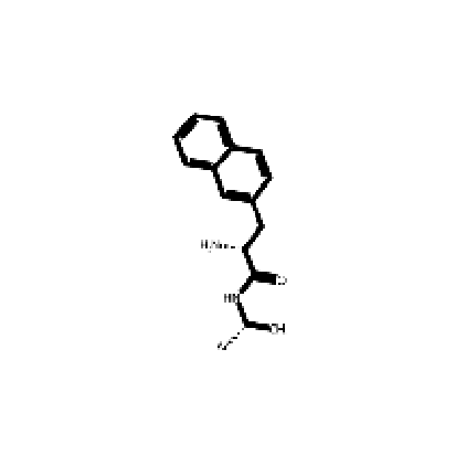 CC(=O)[C@@H](C)NC(=O)[C@H](N)Cc1ccc2ccccc2c1